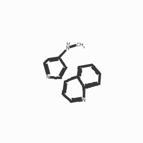 CNc1ccncc1.c1ccc2ncccc2c1